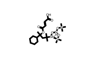 CC(C)(CC(C)(OC(=O)C=CC(=O)O)C1CCCCC1)[SiH2]O[SiH](O[Si](C)(C)C)O[Si](C)(C)C